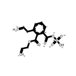 C=CCOC(=O)c1c(CC=C)cccc1C(=O)OS(=O)(=O)O